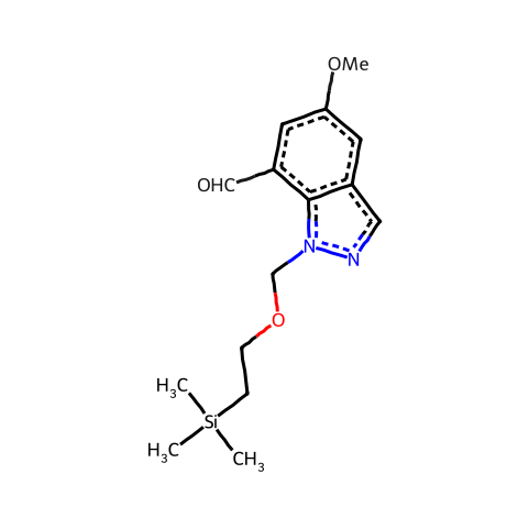 COc1cc(C=O)c2c(cnn2COCC[Si](C)(C)C)c1